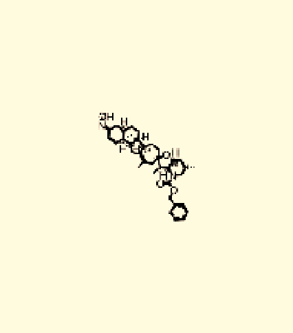 CC1=C2C[C@H]3[C@@H](CC[C@@H]4CC(=NO)C=C[C@@]43C)[C@@H]2CC[C@@]2(C1)O[C@@H]1C[C@H](C)CN(C(=O)OCc3ccccc3)[C@H]1[C@H]2C